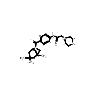 CC1(C)CC2CC(C)(CN2C(=O)c2ccc(NC(=O)CN3CCOCC3)cc2)C1